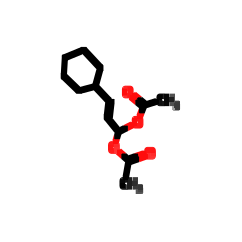 CC(=O)OC(C=CC1CCCCC1)OC(C)=O